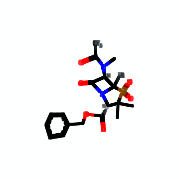 CCC12[C@H](N(C)C(=O)C(F)(F)F)C(=O)N1[C@@H](C(=O)OCc1ccccc1)C(C)(C)S2(=O)=O